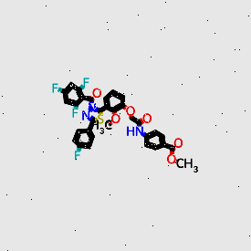 COC(=O)c1ccc(NC(=O)COc2cccc(C3SC(c4ccc(F)cc4)=NN3C(=O)c3c(F)cc(F)cc3F)c2OC)cc1